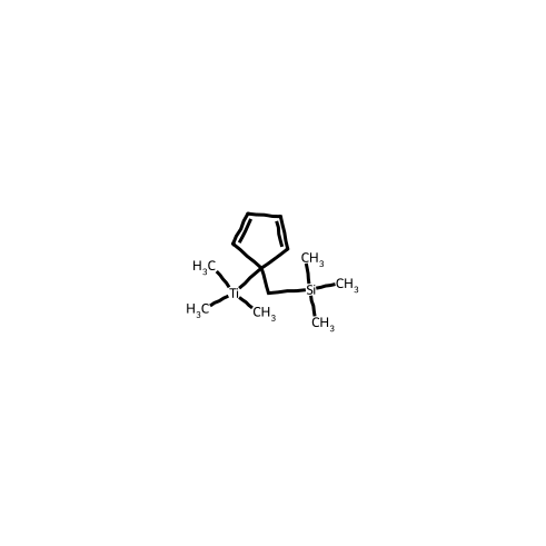 C[Si](C)(C)C[C]1([Ti]([CH3])([CH3])[CH3])C=CC=C1